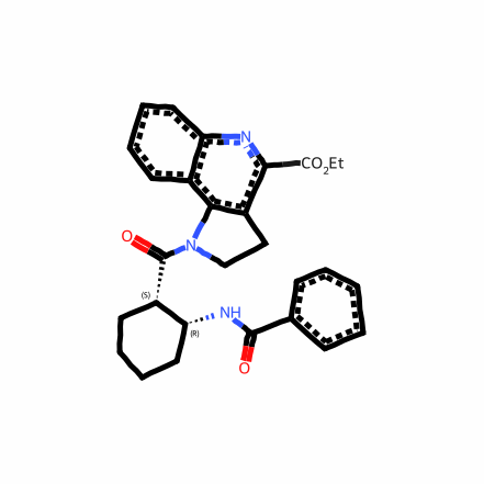 CCOC(=O)c1nc2ccccc2c2c1CCN2C(=O)[C@H]1CCCC[C@H]1NC(=O)c1ccccc1